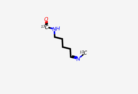 [13CH3]/N=C\CCCCN[13CH]=O